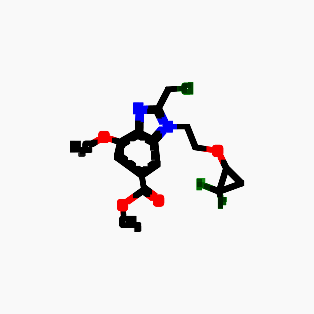 COC(=O)c1cc(OC)c2nc(CCl)n(CCOC3CC3(F)F)c2c1